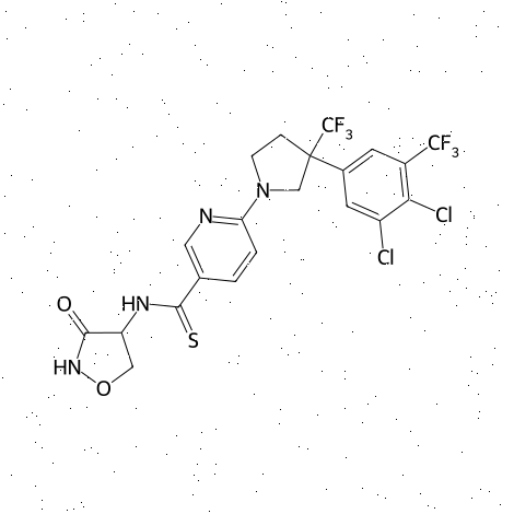 O=C1NOCC1NC(=S)c1ccc(N2CCC(c3cc(Cl)c(Cl)c(C(F)(F)F)c3)(C(F)(F)F)C2)nc1